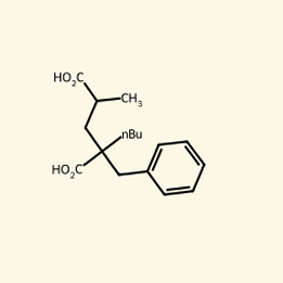 CCCCC(Cc1ccccc1)(CC(C)C(=O)O)C(=O)O